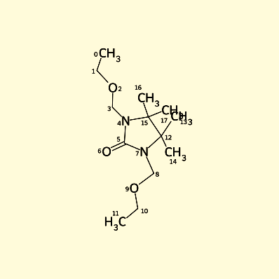 CCOCN1C(=O)N(COCC)C(C)(C)C1(C)C